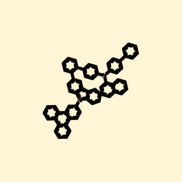 c1ccc(-c2ccc(N(c3ccc(-c4ccccc4-c4ccc5c(c4)c4ccccc4n5-c4ccc5c6ccccc6c6ccccc6c5c4)cc3)c3cccc4ccccc34)cc2)cc1